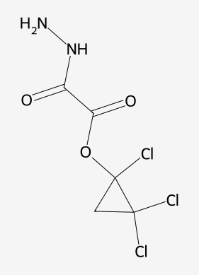 NNC(=O)C(=O)OC1(Cl)CC1(Cl)Cl